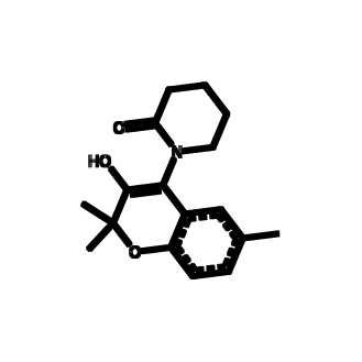 Cc1ccc2c(c1)C(N1CCCCC1=O)=C(O)C(C)(C)O2